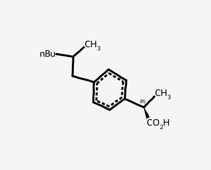 CCCCC(C)Cc1ccc([C@@H](C)C(=O)O)cc1